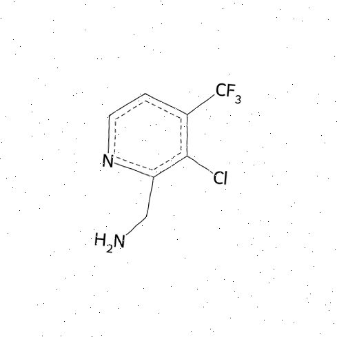 NCc1nccc(C(F)(F)F)c1Cl